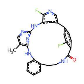 Cc1cnc2nc1Nc1ccccc1CCNC(=O)c1ccc(cc1F)-c1cnc(F)c(c1)N2